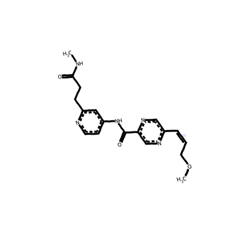 CNC(=O)CCc1cc(NC(=O)c2cnc(/C=C\COC)cn2)ccn1